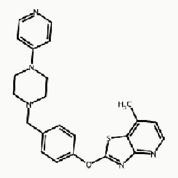 Cc1ccnc2nc(Oc3ccc(CN4CCN(c5ccncc5)CC4)cc3)sc12